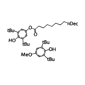 CCCCCCCCCCCCCCCCCC(=O)Oc1cc(C(C)(C)C)c(O)c(C(C)(C)C)c1.COc1cc(C(C)(C)C)c(O)c(C(C)(C)C)c1